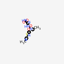 C[C@H]1CC[C@H](c2ccc3sc(C4=CCN(C)CC4)nc3c2)N(C(=O)C(=O)Nc2cnc3o[nH]c(=O)c3c2)C1